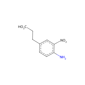 Nc1ccc(CCC(=O)O)cc1[N+](=O)[O-]